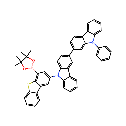 CC1(C)OB(c2cc(-n3c4ccccc4c4cc(-c5ccc6c7ccccc7n(-c7ccccc7)c6c5)ccc43)cc3c2sc2ccccc23)OC1(C)C